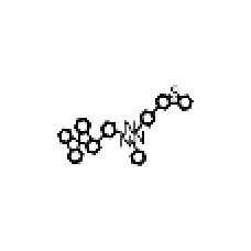 c1ccc(-c2nc(-c3ccc(-c4ccc5sc6ccccc6c5c4)cc3)nc(-c3cccc(-c4cccc5c4-c4ccccc4C54c5ccccc5-c5ccccc54)c3)n2)cc1